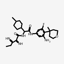 CCC(=N)C(=N)C(=O)NC(C(=O)Nc1cc(N)c(C2(C)CCOCC2)c(F)c1)C1CCC(C)CC1